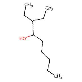 CCCCCC(O)C(CC)CC